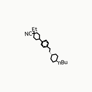 CCCC[C@H]1CC[C@H](CCc2ccc(C3CCC(C#N)(CC)CC3)cc2)CC1